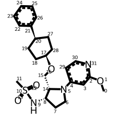 COc1cc(N2CC[C@H](NS(C)(=O)=O)[C@@H]2CO[C@H]2CC[C@@H](c3ccccc3)CC2)ccn1